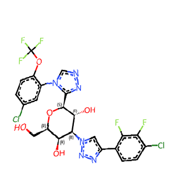 OC[C@H]1O[C@@H](c2nncn2-c2cc(Cl)ccc2OC(F)(F)F)[C@H](O)[C@@H](n2cc(-c3ccc(Cl)c(F)c3F)nn2)[C@H]1O